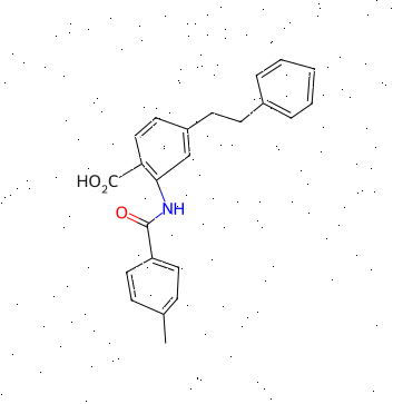 Cc1ccc(C(=O)Nc2cc(CCc3ccccc3)ccc2C(=O)O)cc1